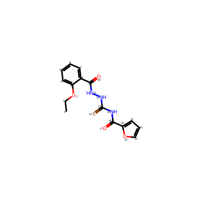 CCOc1ccccc1C(=O)NNC(=S)NC(=O)c1ccco1